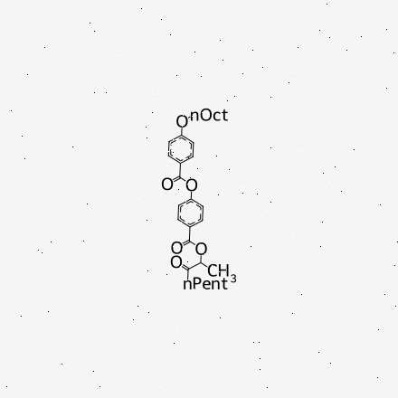 CCCCCCCCOc1ccc(C(=O)Oc2ccc(C(=O)OC(C)C(=O)CCCCC)cc2)cc1